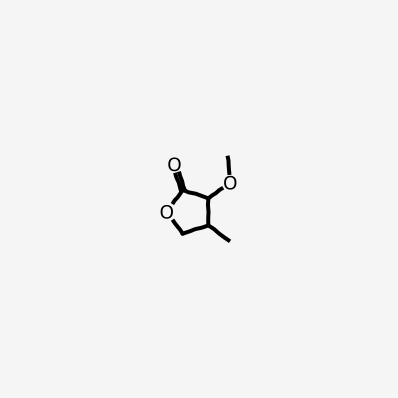 COC1C(=O)OCC1C